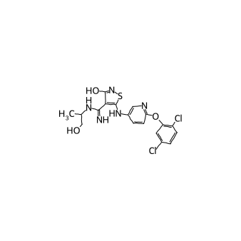 CC(CO)NC(=N)c1c(O)nsc1Nc1ccc(Oc2cc(Cl)ccc2Cl)nc1